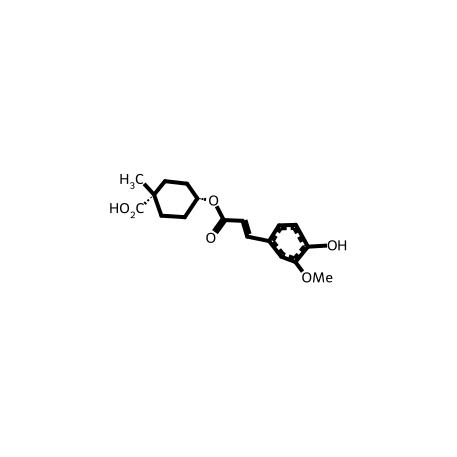 COc1cc(C=CC(=O)O[C@H]2CC[C@@](C)(C(=O)O)CC2)ccc1O